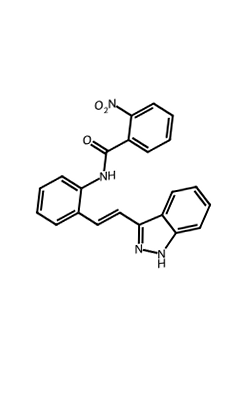 O=C(Nc1ccccc1C=Cc1n[nH]c2ccccc12)c1ccccc1[N+](=O)[O-]